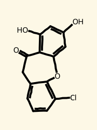 O=C1Cc2cccc(Cl)c2Oc2cc(O)cc(O)c21